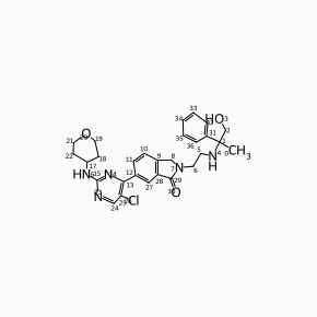 CC(CO)(NCCN1Cc2ccc(-c3nc(NC4CCOCC4)ncc3Cl)cc2C1=O)c1ccccc1